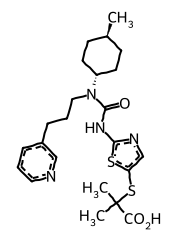 CC(C)(Sc1cnc(NC(=O)N(CCCc2cccnc2)[C@H]2CC[C@H](C)CC2)s1)C(=O)O